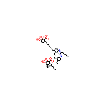 CCCCCC(=Nc1ccc(CC)c(CC)c1)C(C)=Nc1ccc(CC)c(CC)c1.CCCCCc1ccc(O)c(O)c1C(=O)[O-].CCCCCc1ccc(O)c(O)c1C(=O)[O-].[Ni+2]